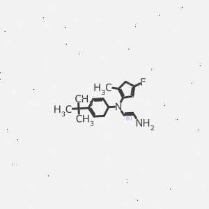 CC1=C(N(/C=C/N)C2C=CC(C(C)(C)C)=CC2)C=C(F)C1